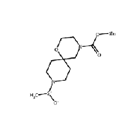 C[S+]([O-])N1CCC2(CC1)CN(C(=O)OC(C)(C)C)CCO2